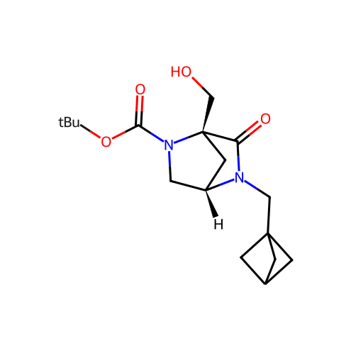 CC(C)(C)OC(=O)N1C[C@@H]2C[C@@]1(CO)C(=O)N2CC12CC(C1)C2